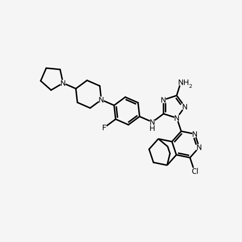 Nc1nc(Nc2ccc(N3CCC(N4CCCC4)CC3)c(F)c2)n(-c2nnc(Cl)c3c2C2CCC3CC2)n1